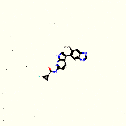 COc1cc2[nH]cnc2cc1-c1c[nH]c2nc(NC(=O)[C@@H]3C[C@@H]3F)ccc12